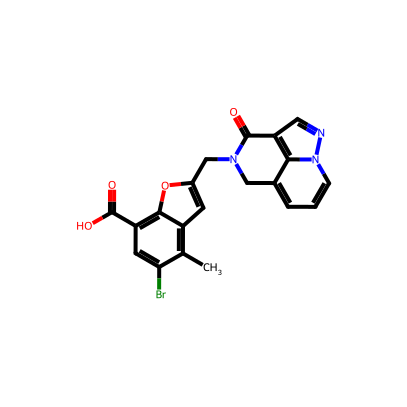 Cc1c(Br)cc(C(=O)O)c2oc(CN3Cc4cccn5ncc(c45)C3=O)cc12